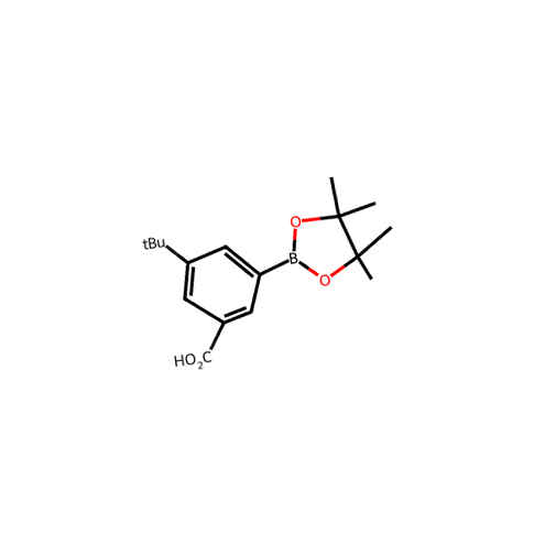 CC(C)(C)c1cc(B2OC(C)(C)C(C)(C)O2)cc(C(=O)O)c1